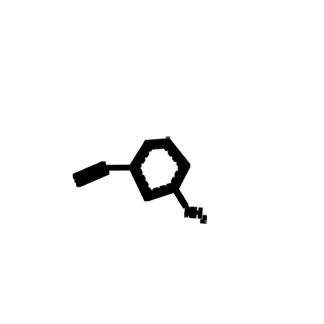 C#Cc1c[c]cc(N)c1